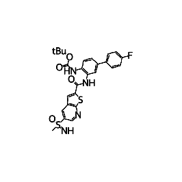 CC(C)(C)OC(=O)Nc1ccc(-c2ccc(F)cc2)cc1NC(=O)c1cc2cc(S(C)(=N)=O)cnc2s1